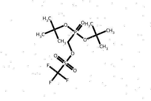 CC(C)(C)OP(=O)(COS(=O)(=O)C(F)(F)F)OC(C)(C)C